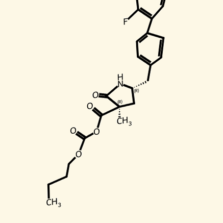 CCCCOC(=O)OC(=O)[C@]1(C)C[C@@H](Cc2ccc(-c3cc(Cl)ccc3F)cc2)NC1=O